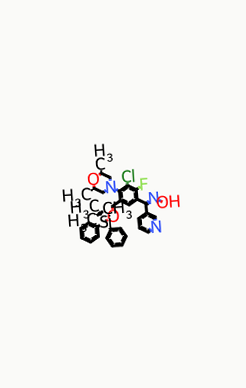 C[C@@H]1CN(c2c(CO[Si](c3ccccc3)(c3ccccc3)C(C)(C)C)cc(/C(=N/O)c3cccnc3)c(F)c2Cl)C[C@H](C)O1